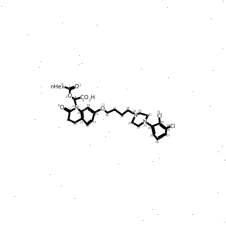 CCCCCCC(=O)OC(C(=O)O)N1C(=O)CCc2ccc(OCCCCN3CCN(c4cccc(Cl)c4Cl)CC3)cc21